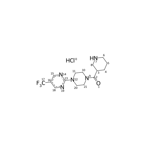 Cl.O=C(C1CCCNC1)N1CCN(c2ncc(C(F)(F)F)cn2)CC1